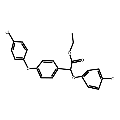 CCOC(=O)C(Oc1ccc(Cl)cc1)c1ccc(Oc2ccc(Cl)cc2)cc1